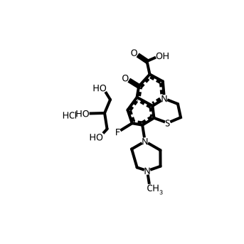 CN1CCN(c2c(F)cc3c(=O)c(C(=O)O)cn4c3c2SCC4)CC1.Cl.OCC(O)CO